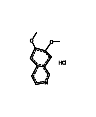 COc1cc2ccncc2cc1OC.Cl